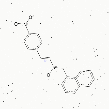 O=[N+]([O-])c1ccc(/C=C/[S+]([O-])Cc2cccc3ccccc23)cc1